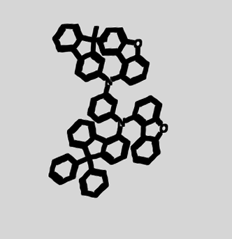 CC1(C)c2ccccc2-c2ccc(N(c3cccc(N(c4cccc5c4-c4ccccc4C5(c4ccccc4)c4ccccc4)c4cccc5oc6ccccc6c45)c3)c3cccc4oc5ccccc5c34)cc21